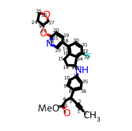 CC#CC(CC(=O)OC)c1ccc(N[C@@H]2CCc3c(-c4ccc(O[C@@H]5CCOC5)nc4)ccc(F)c32)cc1